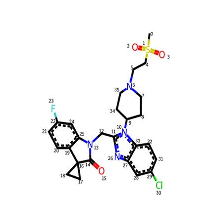 CS(=O)(=O)CCN1CCC(n2c(CN3C(=O)C4(CC4)c4ccc(F)cc43)nc3cc(Cl)ccc32)CC1